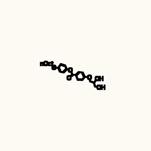 CCCCCCCCOc1ccc(OC(=O)c2ccc(OCC(O)CO)cc2)cc1